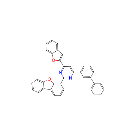 c1ccc(-c2cccc(-c3cc(-c4cc5ccccc5o4)nc(-c4cccc5c4oc4ccccc45)n3)c2)cc1